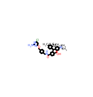 C=c1ccc2c(c1)[Si](C)(C)c1cc(N(C)C)ccc1C=2c1cc(C(=O)NCc2ccc(COc3cc(Cl)nc(N)n3)cc2)ccc1C(=O)O